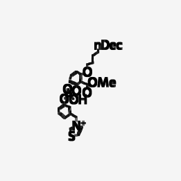 CCCCCCCCCCCCCCOc1cccc(OP(=O)(O)Oc2cccc(C[n+]3ccsc3)c2)c1C(=O)OC